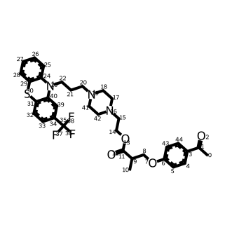 CC(=O)c1ccc(OCC(C)C(=O)OCCN2CCN(CCCN3c4ccccc4Sc4ccc(C(F)(F)F)cc43)CC2)cc1